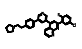 Fc1ccc(Cl)cc1-c1cc(-c2cncc(-c3ccc(CCN4CCCC4)cc3)c2)c2cccnc2n1